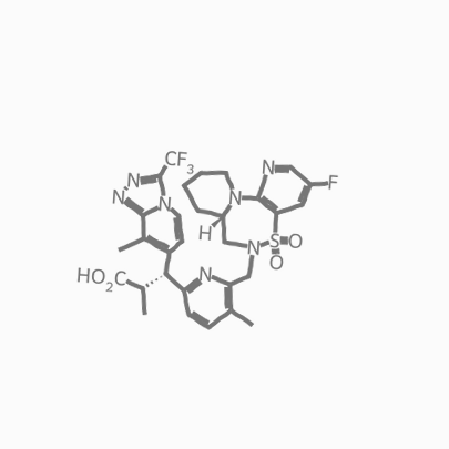 Cc1ccc([C@@H](c2ccn3c(C(F)(F)F)nnc3c2C)C(C)C(=O)O)nc1CN1C[C@@H]2CCCCN2c2ncc(F)cc2S1(=O)=O